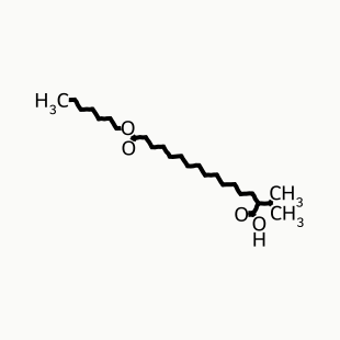 CCCCCCCOC(=O)CCCCCCCCCCCCCC(C(=O)O)C(C)C